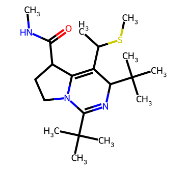 CNC(=O)C1CCN2C(C(C)(C)C)=NC(C(C)(C)C)C(C(C)SC)=C12